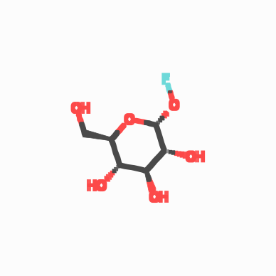 OC[C@H]1O[C@H](OF)[C@H](O)[C@@H](O)[C@@H]1O